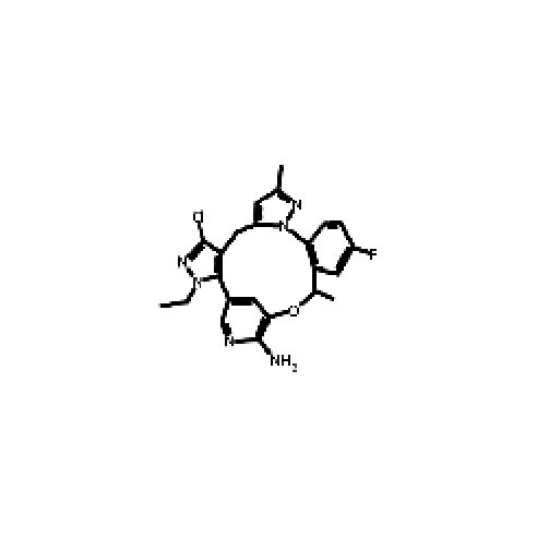 CCn1nc(Cl)c2c1-c1cnc(N)c(c1)OC(C)c1cc(F)ccc1-n1nc(C)cc1C2